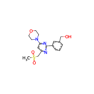 CS(=O)(=O)Cc1cc(N2CCOCC2)nc(-c2cccc(CO)c2)n1